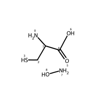 NC(CS)C(=O)O.NO